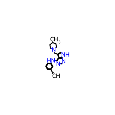 C#Cc1cccc(Nc2ncnc3[nH]cc(CN4CCC(C)CC4)c23)c1